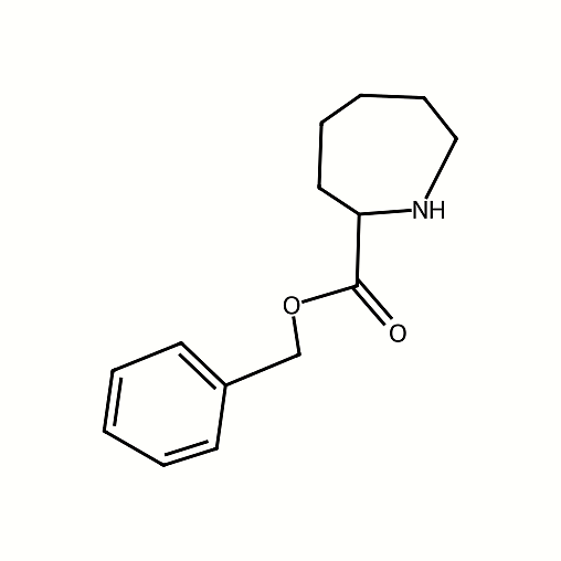 O=C(OCc1ccccc1)C1CCCCCN1